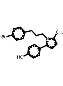 CCCCc1ccc(CCCn2c(C)ccc2-c2ccc(O)cc2)cc1